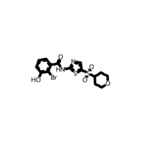 O=C(Nc1ncc(S(=O)(=O)C2CCOCC2)s1)c1cccc(O)c1Br